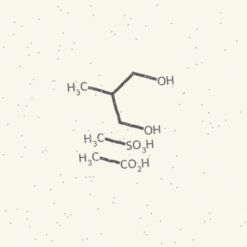 CC(=O)O.CC(CO)CO.CS(=O)(=O)O